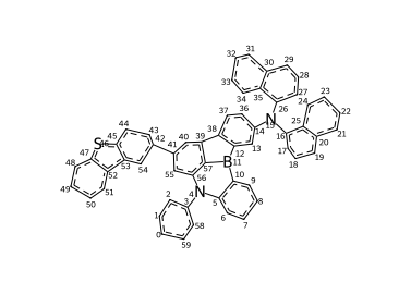 c1ccc(N2c3ccccc3B3c4cc(N(c5cccc6ccccc56)c5cccc6ccccc56)ccc4-c4cc(-c5ccc6sc7ccccc7c6c5)cc2c43)cc1